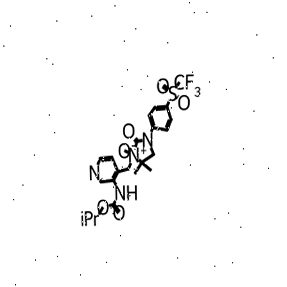 CC(C)OC(=O)Nc1cnccc1C[N+]1([O-])C(=O)N(c2ccc(S(=O)(=O)C(F)(F)F)cc2)CC1(C)C